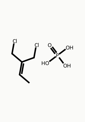 CC=C(CCl)CCl.O=P(O)(O)O